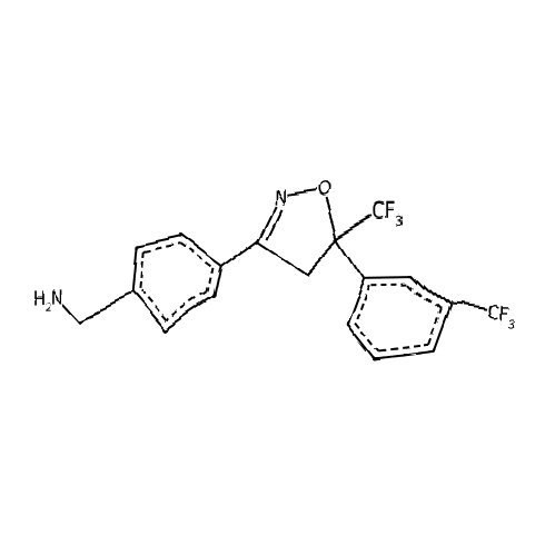 NCc1ccc(C2=NOC(c3cccc(C(F)(F)F)c3)(C(F)(F)F)C2)cc1